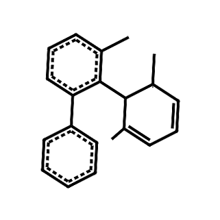 C[C]1C=CC=C(C)C1c1c(C)cccc1-c1ccccc1